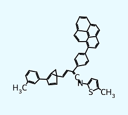 Cc1cccc(C2=C3CC3(/C=C/C(=C=Nc3ccc(C)s3)c3ccc(-c4ccc5ccc6cccc7ccc4c5c67)cc3)C=C2)c1